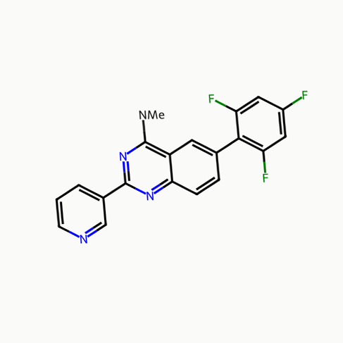 CNc1nc(-c2cccnc2)nc2ccc(-c3c(F)cc(F)cc3F)cc12